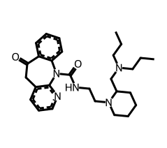 CCCN(CCC)CC1CCCCN1CCNC(=O)N1c2ccccc2C(=O)Cc2cccnc21